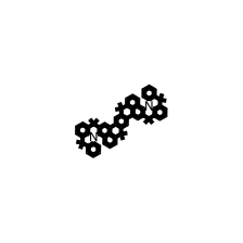 CC1(C)c2ccccc2N2c3c1cccc3C(C)(C)c1cc3c4c(cccc4c12)C(C)(C)c1cc2c(cc1-3)C(C)(C)c1cccc3c4c(cc-2c13)C(C)(C)c1cccc2c1N4c1ccccc1C2(C)C